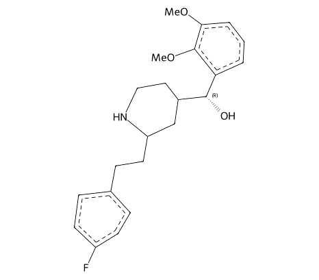 COc1cccc([C@H](O)C2CCNC(CCc3ccc(F)cc3)C2)c1OC